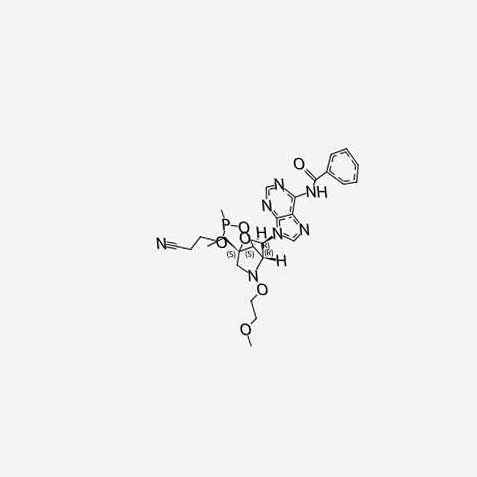 CC[C@@]12CN(OCCOC)[C@@H]([C@H](n3cnc4c(NC(=O)c5ccccc5)ncnc43)O1)[C@@H]2OP(C)OCCC#N